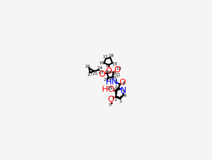 COc1ccnc(C(=O)N[C@](C)(C(=O)OC2CCCC2)C(C)COCC2CC2)c1O